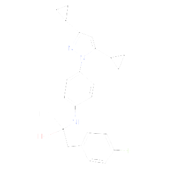 CC(O)(Cc1ccc(F)cc1)Nc1ccc(-n2nc(C3CC3)cc2C2CC2)cc1